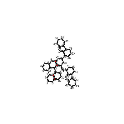 c1ccc(-c2cccc3cccc(-c4ccccc4N(c4cccc(-c5cccc6c5sc5ccccc56)c4)c4cccc5c4sc4ccccc45)c23)cc1